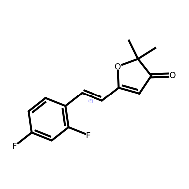 CC1(C)OC(/C=C/c2ccc(F)cc2F)=CC1=O